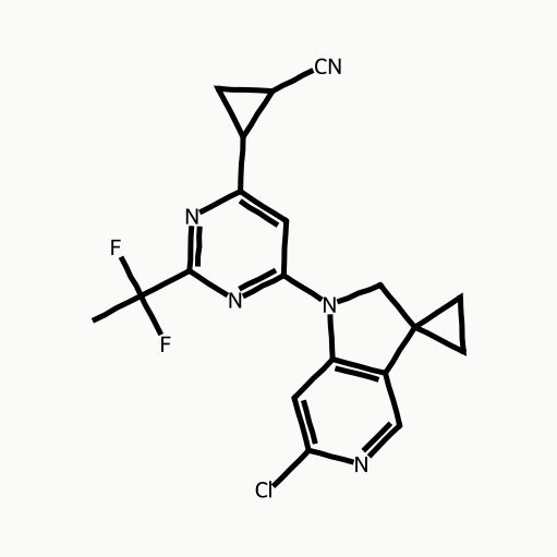 CC(F)(F)c1nc(C2CC2C#N)cc(N2CC3(CC3)c3cnc(Cl)cc32)n1